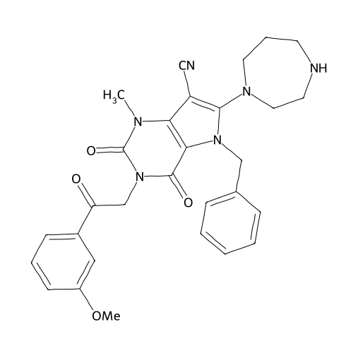 COc1cccc(C(=O)Cn2c(=O)c3c(c(C#N)c(N4CCCNCC4)n3Cc3ccccc3)n(C)c2=O)c1